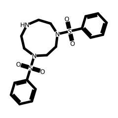 O=S(=O)(c1ccccc1)N1CCNCCN(S(=O)(=O)c2ccccc2)CC1